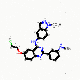 CCCCNc1cccc(-c2nc(Nc3ccc4c(cnn4C(=O)O)c3)c3cc(OCCCl)ccc3n2)c1